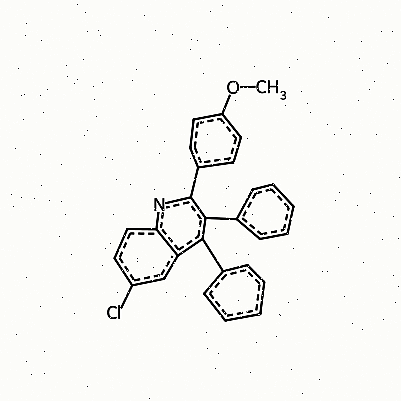 COc1ccc(-c2nc3ccc(Cl)cc3c(-c3ccccc3)c2-c2ccccc2)cc1